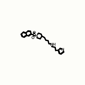 O=S(=O)(c1ccc2ccccc2c1)N1CCC(CCCCNCCCc2cccnc2)CC1